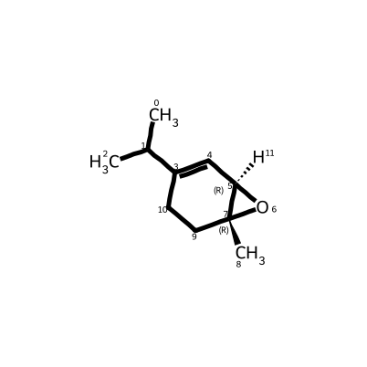 CC(C)C1=C[C@H]2O[C@]2(C)CC1